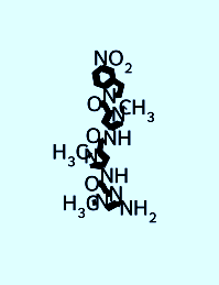 Cn1cc(NC(=O)c2nc(N)cn2C)cc1C(=O)Nc1cc(C(=O)N2CCc3cc([N+](=O)[O-])ccc32)n(C)c1